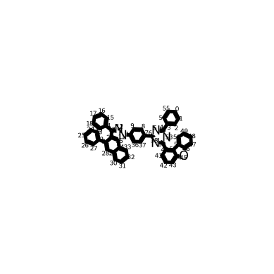 c1ccc(-c2nc(-c3ccc(-n4nc(-c5ccccc5)c5c(-c6ccccc6)cc6ccccc6c54)cc3)nc(-c3cccc4oc5ccccc5c34)n2)cc1